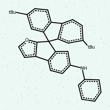 CC(C)(C)c1ccc2c(c1)C1(c3cc(C(C)(C)C)ccc3-2)c2cc(Nc3ccccc3)ccc2-c2ccoc21